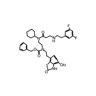 O=C(OCc1ccccc1)N(CCc1ccc(O)c2[nH]c(=O)sc12)CCN(C(=O)CCNCCc1cc(F)cc(F)c1)C1CCCCC1